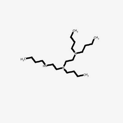 CCCCNCCN(CCCC)CCN(CCCC)CCCC